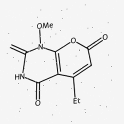 C=C1NC(=O)c2c(CC)cc(=O)oc2N1OC